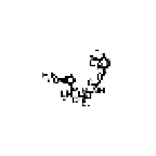 C=C1CC/C(=C/OCC(=O)NC2CC(CC)(C(=O)NC(N)C3=C4C(=CC3)C4OC(F)(F)F)C2)NC1C(C)(F)F